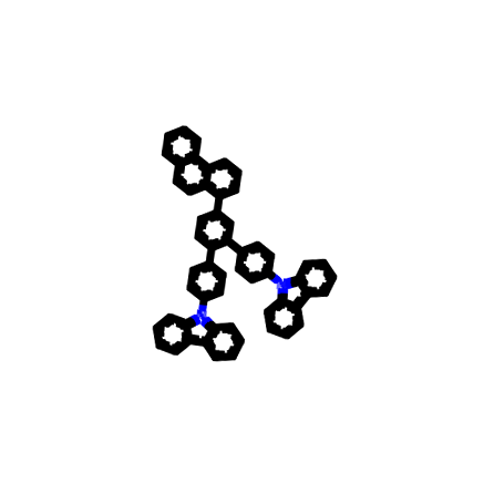 c1ccc2c(c1)ccc1c(-c3ccc(-c4ccc(-n5c6ccccc6c6ccccc65)cc4)c(-c4ccc(-n5c6ccccc6c6ccccc65)cc4)c3)cccc12